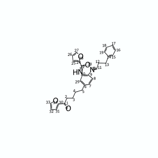 O=C(CCCCc1ccc(/N=C/CCc2ccccc2)c(NC(=O)c2ccco2)c1)c1ccco1